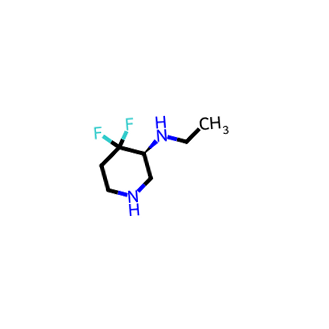 CCN[C@H]1CNCCC1(F)F